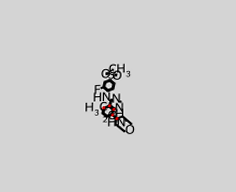 [2H]C([2H])(c1ccccc1)N1C2COCC1CC(Oc1ncnc(Nc3ccc(S(C)(=O)=O)cc3F)c1C)C2